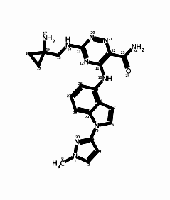 Cn1ccc(-n2ccc3c(Nc4nc(NCC5(N)CC5)nnc4C(N)=O)cccc32)n1